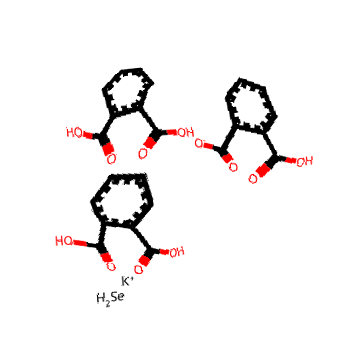 O=C(O)c1ccccc1C(=O)O.O=C(O)c1ccccc1C(=O)O.O=C([O-])c1ccccc1C(=O)O.[K+].[SeH2]